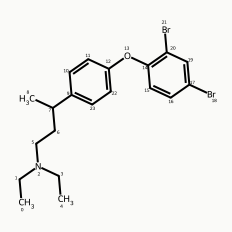 CCN(CC)CCC(C)c1ccc(Oc2ccc(Br)cc2Br)cc1